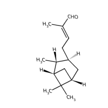 C/C(C=O)=C\C[C@H]1C[C@H]2C[C@@H]([C@@H]1C)C2(C)C